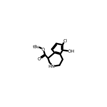 CC(C)(C)OC(=O)C1CNCCc2c1ccc(Cl)c2O